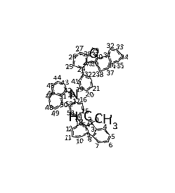 CC1(C)c2ccccc2-c2cccc(-c3ccc(N(c4cccc(-c5cccc6oc7c8ccccc8ccc7c56)c4)c4cccc5ccccc45)cc3)c21